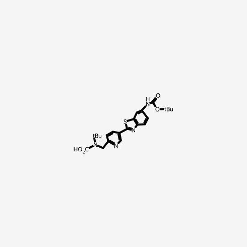 CC(C)(C)OC(=O)Nc1ccc2nc(-c3ccc(CN(C(=O)O)C(C)(C)C)nc3)sc2c1